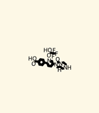 O=C(O)C(F)(F)F.O=C(O)c1ccc(-c2ccc(N3C[C@@H]4CNCCN4C3=O)cn2)cc1